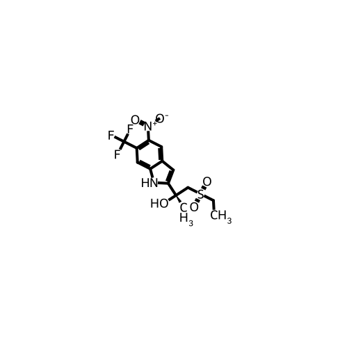 CCS(=O)(=O)C[C@](C)(O)c1cc2cc([N+](=O)[O-])c(C(F)(F)F)cc2[nH]1